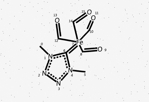 Cn1nnn(C)[c]1=[Fe]([CH]=O)([CH]=O)([CH]=O)[CH]=O